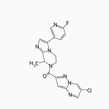 CC1c2ncc(-c3ccc(F)nc3)n2CCN1C(=O)c1cc2ncc(Cl)cn2n1